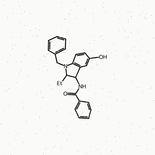 CCC1C(NC(=O)c2ccccc2)c2cc(O)ccc2N1Cc1ccccc1